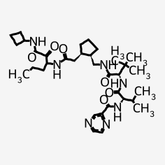 CCCC(NC(=O)C[C@H]1CCC[C@H]1CNC(=O)[C@@H](NC(=O)[C@H](NC(=O)c1cnccn1)C(C)C)C(C)(C)C)C(=O)C(=O)NC1CCC1